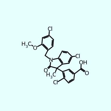 COc1cc(Cl)ccc1CN1C(=O)C(C)(c2cc(C(=O)O)ccc2Cl)c2cc(Cl)ccc21